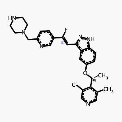 Cc1cncc(Cl)c1[C@@H](C)Oc1ccc2[nH]nc(/C=C(\F)c3ccc(CN4CCNCC4)nc3)c2c1